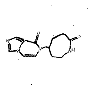 O=C1CCC(n2ccn3cncc3c2=O)CCN1